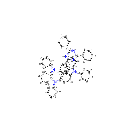 c1ccc(-c2nc(-c3ccccc3)nc(-c3cccc(-n4c5ccccc5c5ccc6c7ccccc7n(-c7ccc8c(c7)c7ccccc7n8-c7ccccc7)c6c54)c3)n2)cc1